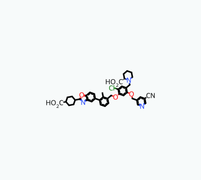 Cc1c(COc2cc(OCc3cncc(C#N)c3)c(CN3CCCC[C@H]3C(=O)O)cc2Cl)cccc1-c1ccc2oc(C3CCC(C(=O)O)CC3)nc2c1